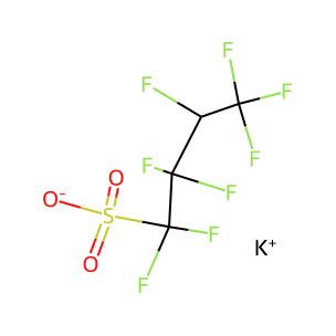 O=S(=O)([O-])C(F)(F)C(F)(F)C(F)C(F)(F)F.[K+]